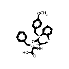 COc1ccc(CN2C(=O)[C@@H](N[C@@H](CCc3ccccc3)C(=O)O)COc3ccccc32)cc1